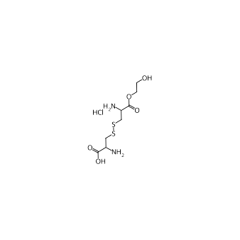 Cl.NC(CSSCC(N)C(=O)OCCO)C(=O)O